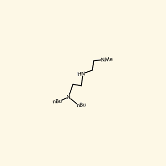 CCCCN(CCCC)CCNCCNC